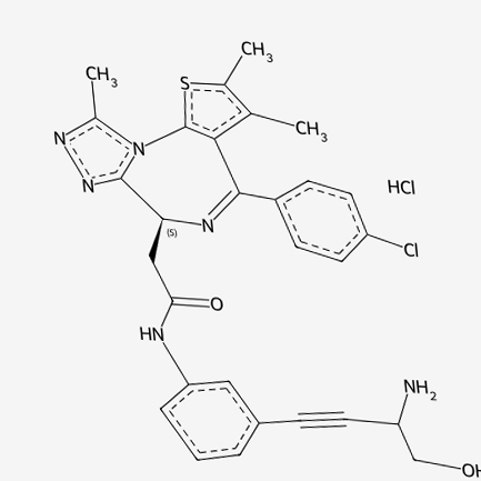 Cc1sc2c(c1C)C(c1ccc(Cl)cc1)=N[C@@H](CC(=O)Nc1cccc(C#CC(N)CO)c1)c1nnc(C)n1-2.Cl